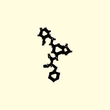 CC(C)(C)N(Cc1ccccc1)C(=O)Oc1cc(COc2ccncc2Br)cc2occc12